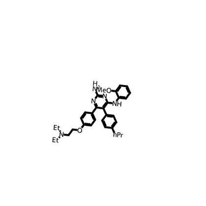 CCCc1ccc(-c2c(Nc3ccccc3OC)nc(N)nc2-c2ccc(OCCN(CC)CC)cc2)cc1